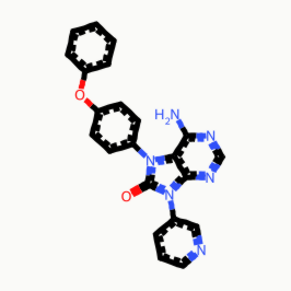 Nc1ncnc2c1n(-c1ccc(Oc3ccccc3)cc1)c(=O)n2-c1cccnc1